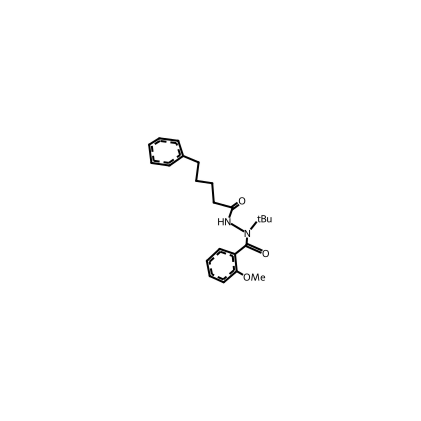 COc1ccccc1C(=O)N(NC(=O)CCCCc1ccccc1)C(C)(C)C